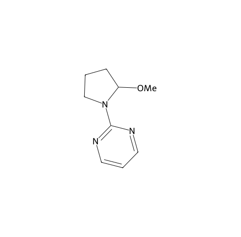 COC1CCCN1c1ncccn1